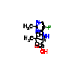 Cc1ncc(F)c(N[C@H](CC(=O)O)C(C)(C)C)n1